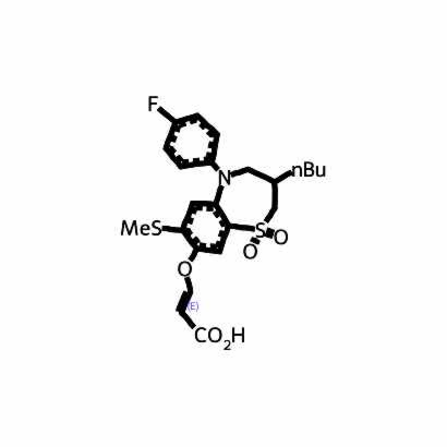 CCCCC1CN(c2ccc(F)cc2)c2cc(SC)c(O/C=C/C(=O)O)cc2S(=O)(=O)C1